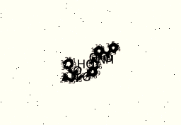 O=C(c1ccccc1)c1ccccc1N[C@@H](Cc1ccc(OCCN(CC2CC2)C(=O)CC2CCCCC2)cc1)C(=O)O